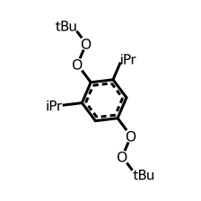 CC(C)c1cc(OOC(C)(C)C)cc(C(C)C)c1OOC(C)(C)C